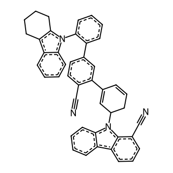 N#Cc1ccc(-c2ccccc2-n2c3c(c4ccccc42)CCCC3)cc1C1=CC(n2c3ccccc3c3cccc(C#N)c32)CC=C1